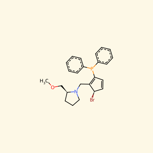 COC[C@@H]1CCCN1CC1=C(P(c2ccccc2)c2ccccc2)C=C[C@H]1Br